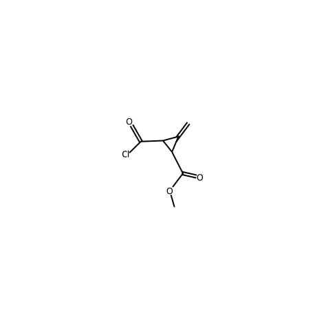 C=C1C(C(=O)Cl)C1C(=O)OC